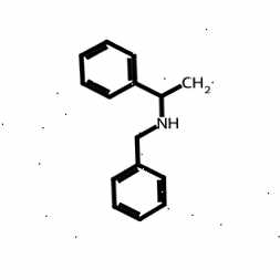 [CH2]C(NCc1ccccc1)c1ccccc1